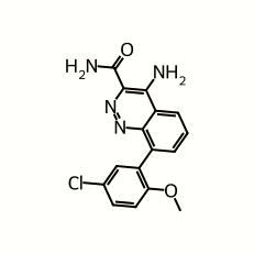 COc1ccc(Cl)cc1-c1cccc2c(N)c(C(N)=O)nnc12